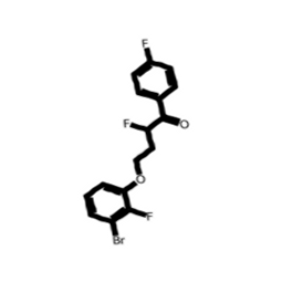 O=C(c1ccc(F)cc1)C(F)CCOc1cccc(Br)c1F